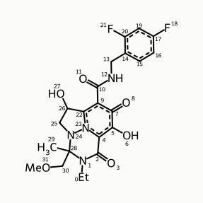 CCN1C(=O)c2c(O)c(=O)c(C(=O)NCc3ccc(F)cc3F)c3n2N(CC3O)C1(C)COC